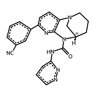 N#Cc1cccc(-c2ccc3c(n2)N(C(=O)Nc2cccnn2)[C@H]2CCCN3C2)c1